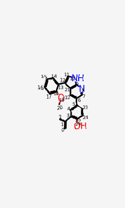 C=C(C)c1cc(-c2cnc3[nH]cc(-c4ccccc4OC)c3c2)ccc1O